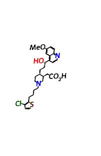 COc1ccc2nccc([C@@H](O)CC[C@@H]3CCN(CCCCc4sccc4Cl)C[C@@H]3CC(=O)O)c2c1